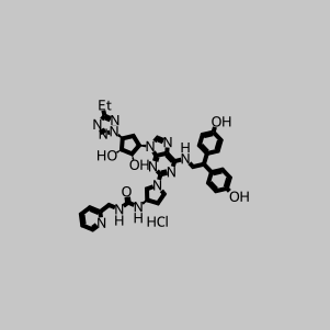 CCc1nnn([C@H]2C[C@@H](n3cnc4c(NCC(c5ccc(O)cc5)c5ccc(O)cc5)nc(N5CC[C@@H](NC(=O)NCc6ccccn6)C5)nc43)[C@H](O)[C@@H]2O)n1.Cl